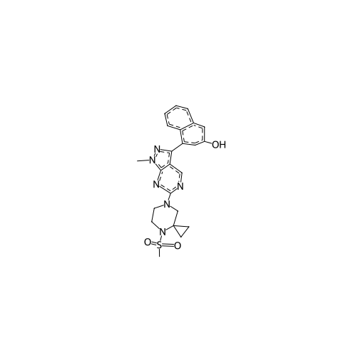 Cn1nc(-c2cc(O)cc3ccccc23)c2cnc(N3CCN(S(C)(=O)=O)C4(CC4)C3)nc21